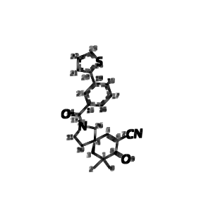 CC1(C)C[C@@]2(C=C(C#N)C1=O)CCN(C(=O)c1cccc(-c3cccs3)c1)C2